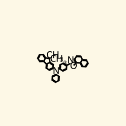 CC1(C)c2ccccc2-c2ccc(N(c3ccccc3)c3ccc(-c4nc5ccc6ccccc6c5o4)cc3)cc21